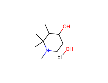 CC1C(O)CCN(C)C1(C)C.CCO